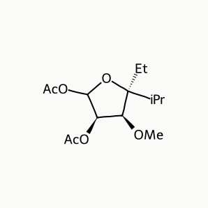 CC[C@@]1(C(C)C)OC(OC(C)=O)[C@H](OC(C)=O)[C@@H]1OC